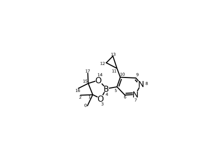 CC1(C)OB(c2cnncc2C2CC2)OC1(C)C